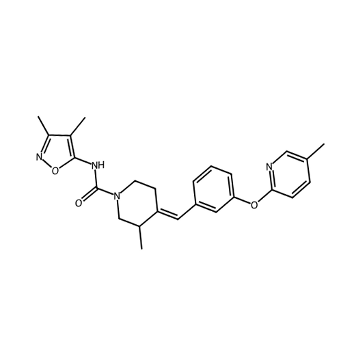 Cc1ccc(Oc2cccc(/C=C3\CCN(C(=O)Nc4onc(C)c4C)CC3C)c2)nc1